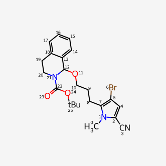 Cn1c(C#N)cc(Br)c1CCCOC1c2ccccc2CCN1C(=O)OC(C)(C)C